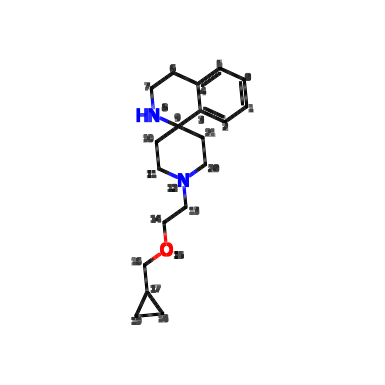 c1ccc2c(c1)CCNC21CCN(CCOCC2CC2)CC1